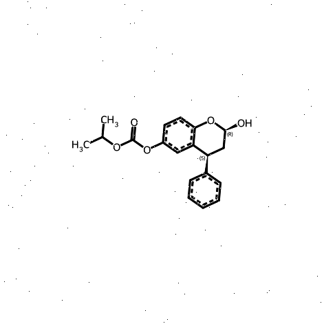 CC(C)OC(=O)Oc1ccc2c(c1)[C@H](c1ccccc1)C[C@H](O)O2